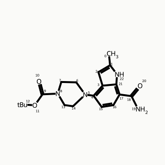 Cc1cc2c(N3CCN(C(=O)OC(C)(C)C)CC3)ccc(C(N)=O)c2[nH]1